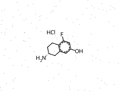 Cl.N[C@@H]1CCc2c(F)cc(O)cc2C1